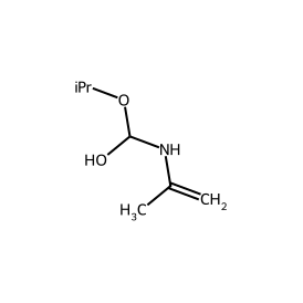 C=C(C)NC(O)OC(C)C